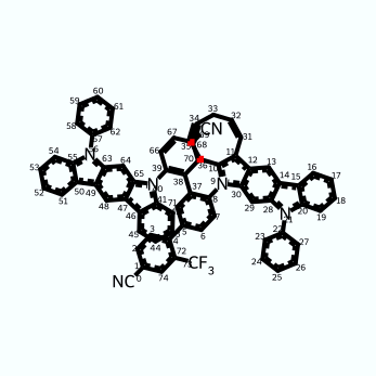 N#Cc1ccc(-c2ccc(-n3c4c(c5cc6c7ccccc7n(-c7ccccc7)c6cc53)/C=C\CC#CC4)c(C3=C(n4c5ccccc5c5cc6c7ccccc7n(-c7ccccc7)c6cc54)C=CC(C#N)C3)c2)c(C(F)(F)F)c1